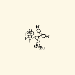 CN(C)c1ccc([S+](c2ccc(N(C)C)cc2)c2cccc(OCC(=O)OC(C)(C)C)c2)cc1.O=S(=O)([O-])c1c(F)c(F)c(F)c(F)c1F